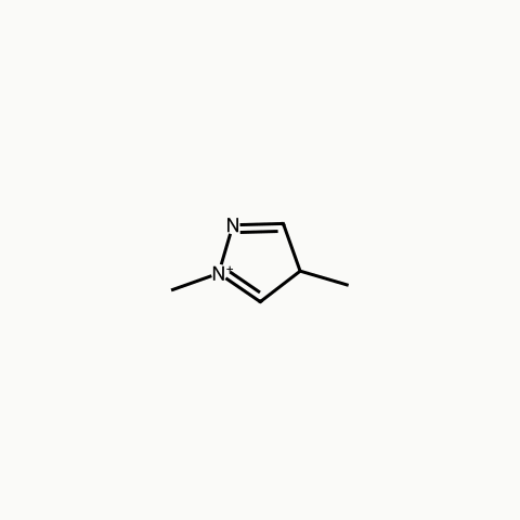 CC1C=N[N+](C)=C1